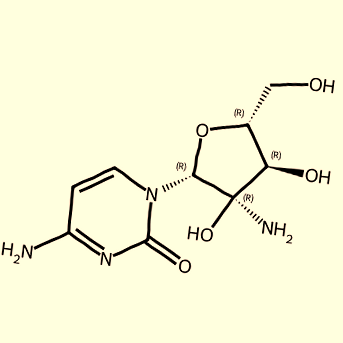 Nc1ccn([C@@H]2O[C@H](CO)[C@@H](O)[C@@]2(N)O)c(=O)n1